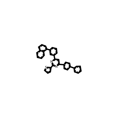 c1ccc(-c2ccc(-c3cc(-c4cccc(-c5cccc6ccccc56)c4)nc(-c4cccs4)n3)cc2)cc1